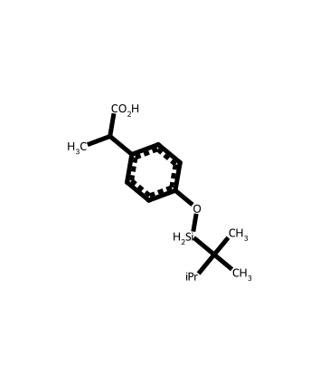 CC(C(=O)O)c1ccc(O[SiH2]C(C)(C)C(C)C)cc1